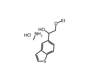 CCOCC(O)c1ccc2sccc2c1.CN.Cl